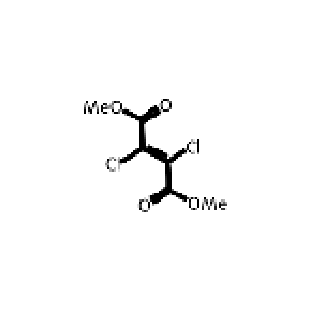 COC(=O)/C(Cl)=C(\Cl)C(=O)OC